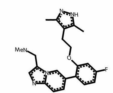 CNCc1cnc2ccc(-c3ccc(F)cc3OCCc3c(C)n[nH]c3C)cn12